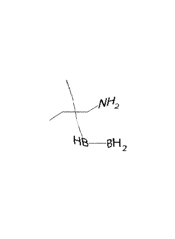 BBC(C)(C)N